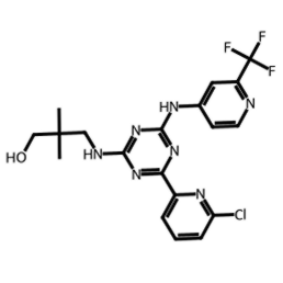 CC(C)(CO)CNc1nc(Nc2ccnc(C(F)(F)F)c2)nc(-c2cccc(Cl)n2)n1